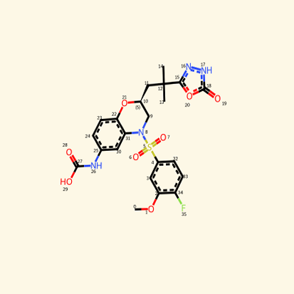 COc1cc(S(=O)(=O)N2C[C@H](CC(C)(C)c3n[nH]c(=O)o3)Oc3ccc(NC(=O)O)cc32)ccc1F